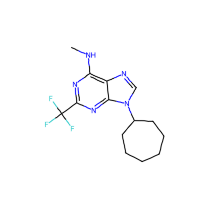 CNc1nc(C(F)(F)F)nc2c1ncn2C1CCCCCC1